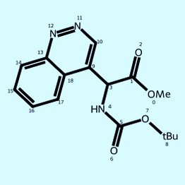 COC(=O)C(NC(=O)OC(C)(C)C)c1cnnc2ccccc12